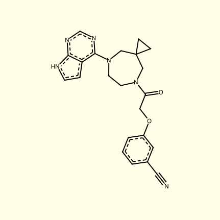 N#Cc1cccc(OCC(=O)N2CCN(c3ncnc4[nH]ccc34)CC3(CC3)C2)c1